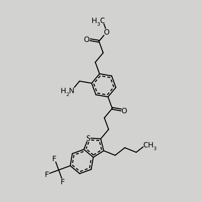 CCCCc1c(CCC(=O)c2ccc(CCC(=O)OC)c(CN)c2)sc2cc(C(F)(F)F)ccc12